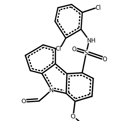 COc1ccc(S(=O)(=O)Nc2c(Cl)cccc2Cl)c2c3ccccc3n(C=O)c12